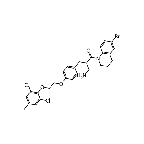 Cc1cc(Cl)c(OCCOc2ccc(CC(CN)C(=O)N3CCCc4cc(Br)ccc43)cc2)c(Cl)c1